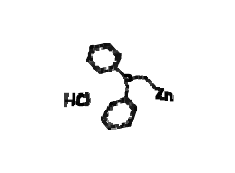 Cl.[Zn][CH2]P(c1ccccc1)c1ccccc1